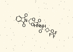 O=C1c2ccccc2C(=O)N1[C@H]1CO[C@H](C(=O)NNC(=O)[C@H]2C[C@@H](OC(F)(F)F)C2)OC1